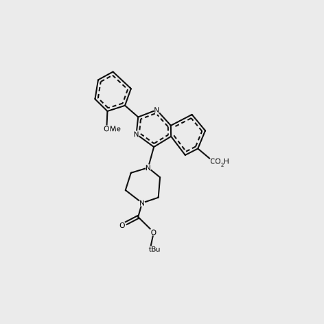 COc1ccccc1-c1nc(N2CCN(C(=O)OC(C)(C)C)CC2)c2cc(C(=O)O)ccc2n1